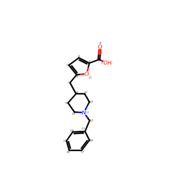 O=C(O)c1ccc(CC2CCN(Cc3ccccc3)CC2)o1